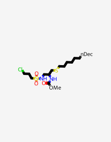 CCCCCCCCCCCCCCCCSCC(CNS(=O)(=O)CCCCl)NC(=O)OC